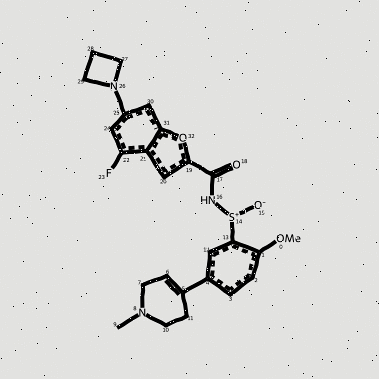 COc1ccc(C2=CCN(C)CC2)cc1[S+]([O-])NC(=O)c1cc2c(F)cc(N3CCC3)cc2o1